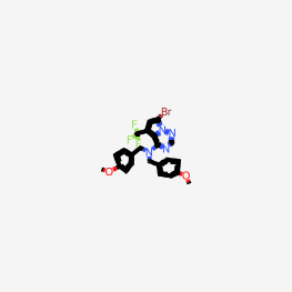 COc1ccc(CN(Cc2ccc(OC)cc2)c2ncnn3c(Br)cc(C(F)(F)F)c23)cc1